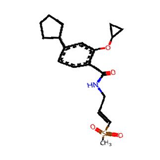 CS(=O)(=O)/C=C/CNC(=O)c1ccc(C2CCCC2)cc1OC1CC1